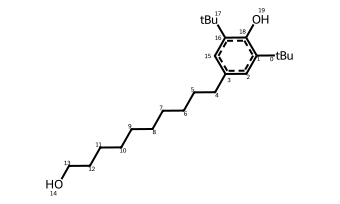 CC(C)(C)c1cc(CCCCCCCCCCO)cc(C(C)(C)C)c1O